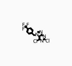 FC(F)(F)c1ccc(Cn2cnc3nc(Cl)nc(Cl)c32)cc1